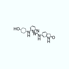 O=C1Cc2ccc(Nc3nc4cccc(NC5CCC(O)CC5)n4n3)cc2N1